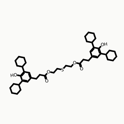 O=C(CCc1cc(C2CCCCC2)c(O)c(C2CCCCC2)c1)OCCSCCOC(=O)CCc1cc(C2CCCCC2)c(O)c(C2CCCCC2)c1